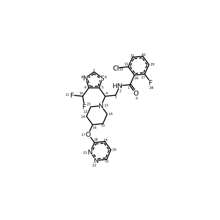 O=C(NCC(c1scnc1C(F)F)N1CCC(Oc2cccnn2)CC1)c1c(F)cccc1Cl